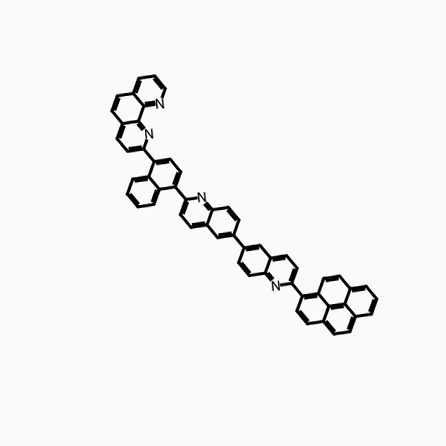 c1cnc2c(c1)ccc1ccc(-c3ccc(-c4ccc5cc(-c6ccc7nc(-c8ccc9ccc%10cccc%11ccc8c9c%10%11)ccc7c6)ccc5n4)c4ccccc34)nc12